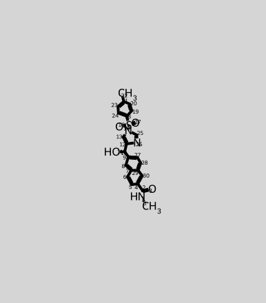 CNC(=O)c1ccc2cc(C(O)c3cn(S(=O)(=O)c4ccc(C)cc4)cn3)ccc2c1